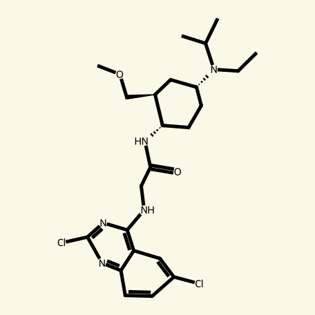 CCN(C(C)C)[C@@H]1CC[C@H](NC(=O)CNc2nc(Cl)nc3ccc(Cl)cc23)[C@@H](COC)C1